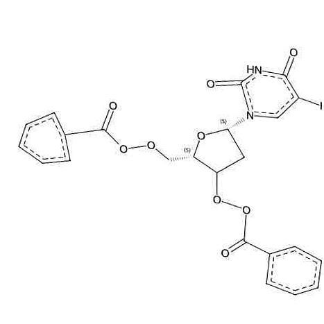 O=C(OOC[C@@H]1O[C@H](n2cc(I)c(=O)[nH]c2=O)CC1OOC(=O)c1ccccc1)c1ccccc1